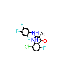 CC(=O)c1c(Nc2cc(F)c(F)cc2F)[nH]c2c(Cl)ccc(F)c2c1=O